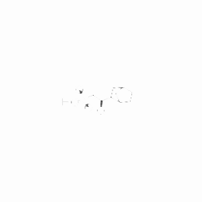 O=C(CS(=O)(=O)O)C1CC2CCC1C2